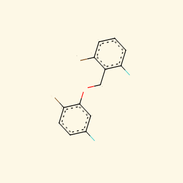 Fc1ccc(Br)c(OCc2c(F)cccc2Br)c1